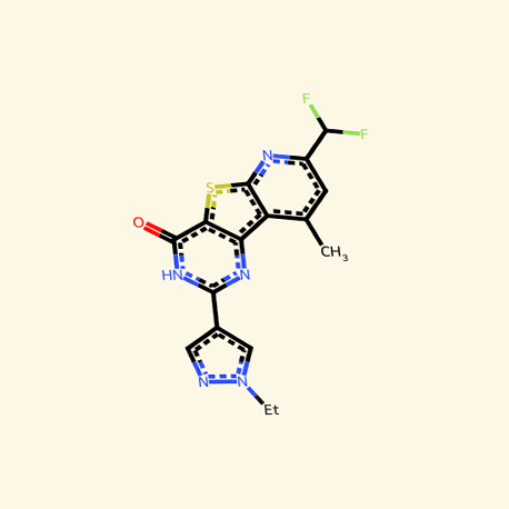 CCn1cc(-c2nc3c(sc4nc(C(F)F)cc(C)c43)c(=O)[nH]2)cn1